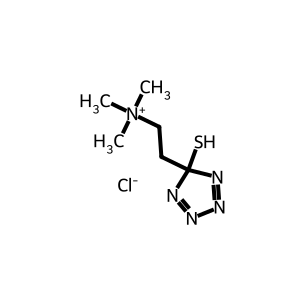 C[N+](C)(C)CCC1(S)N=NN=N1.[Cl-]